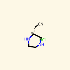 Cl.N#CC[C@@H]1CNCCN1